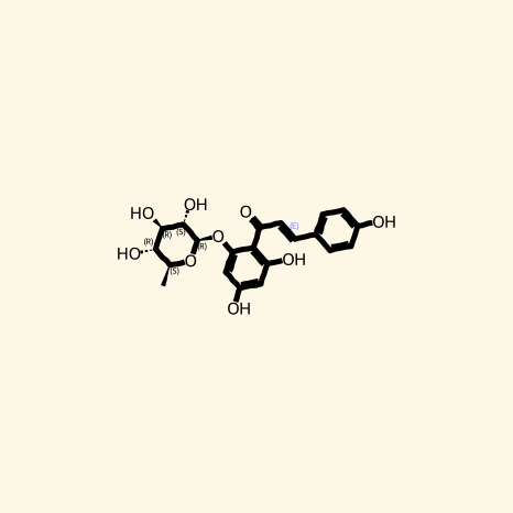 C[C@@H]1O[C@H](Oc2cc(O)cc(O)c2C(=O)/C=C/c2ccc(O)cc2)[C@@H](O)[C@H](O)[C@H]1O